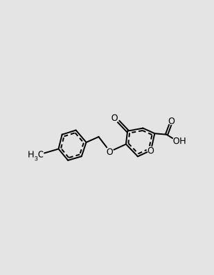 Cc1ccc(COc2coc(C(=O)O)cc2=O)cc1